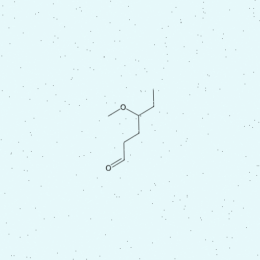 CCC(CCC=O)OC